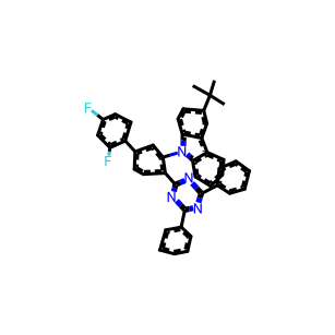 CC(C)(C)c1ccc2c(c1)c1ccccc1n2-c1cc(-c2ccc(F)cc2F)ccc1-c1nc(-c2ccccc2)nc(-c2ccccc2)n1